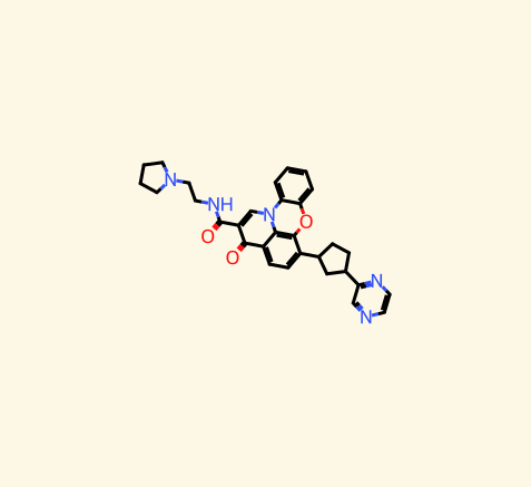 O=C(NCCN1CCCC1)c1cn2c3c(c(C4CCC(c5cnccn5)C4)ccc3c1=O)Oc1ccccc1-2